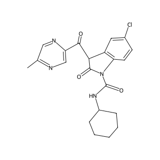 Cc1cnc(C(=O)C2C(=O)N(C(=O)NC3CCCCC3)c3ccc(Cl)cc32)cn1